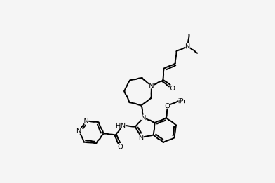 CC(C)Oc1cccc2nc(NC(=O)c3ccnnc3)n(C3CCCCN(C(=O)C=CCN(C)C)C3)c12